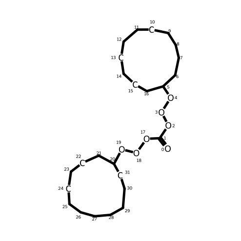 O=C(OOOC1CCCCCCCCCCC1)OOOC1CCCCCCCCCCC1